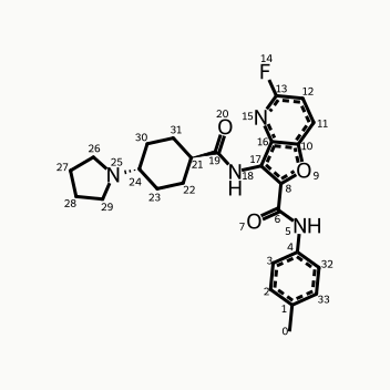 Cc1ccc(NC(=O)c2oc3ccc(F)nc3c2NC(=O)[C@H]2CC[C@H](N3CCCC3)CC2)cc1